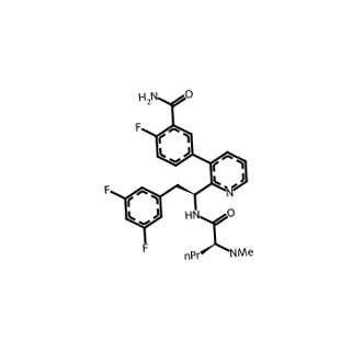 CCC[C@H](NC)C(=O)N[C@@H](Cc1cc(F)cc(F)c1)c1ncccc1-c1ccc(F)c(C(N)=O)c1